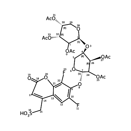 CC(=O)OC1[C@H](O[C@@H]2CO[C@@H](Oc3c(F)cc4c(CS(=O)(=O)O)cc(=O)oc4c3F)C(OC(C)=O)[C@@H]2OC(C)=O)OC[C@@H](OC(C)=O)[C@H]1OC(C)=O